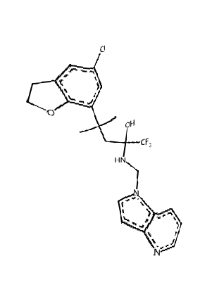 CC(C)(CC(O)(NCn1ccc2ncccc21)C(F)(F)F)c1cc(Cl)cc2c1OCC2